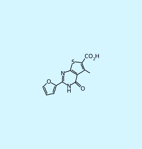 Cc1c(C(=O)O)sc2nc(-c3ccco3)[nH]c(=O)c12